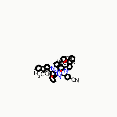 CC1(C)c2ccccc2-c2ccc3c(c21)c1ccccc1n3-c1ccc(-c2cccc(C#N)c2)cc1-c1nc(-c2ccccc2)nc(-c2ccc(C#N)cc2-n2c3ccccc3c3c4c(ccc32)-c2ccccc2C4(C)C)n1